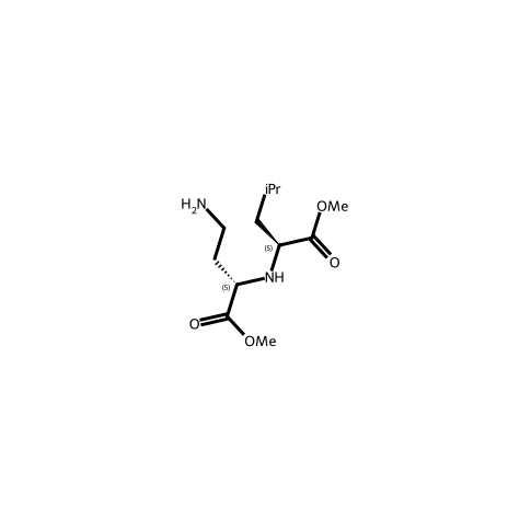 COC(=O)[C@H](CCN)N[C@@H](CC(C)C)C(=O)OC